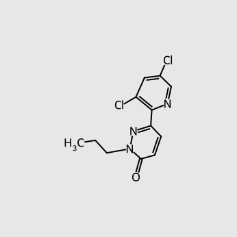 CCCn1nc(-c2ncc(Cl)cc2Cl)ccc1=O